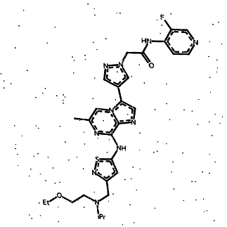 CCOCCN(Cc1cc(Nc2nc(C)cn3c(-c4cnn(CC(=O)Nc5ccncc5F)c4)cnc23)sn1)C(C)C